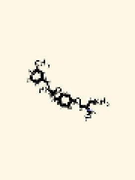 Cc1cc(CNc2nc3ccc(OC/C(=C\F)CN)cc3o2)ccn1